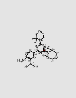 CC1(C)COCCN1c1nc(-c2cnc(N)c(C(F)F)c2)nc(N2C3COCC2COC3)n1